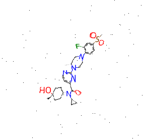 C[C@@H]1CN(c2ccc(S(C)(=O)=O)cc2F)CCN1c1nccc(C(=O)N(C2CC2)[C@H]2CC[C@@](C)(O)CC2)n1